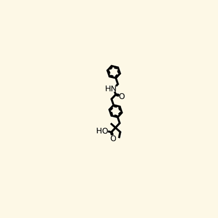 CCC(C)(Cc1ccc(CC(=O)NCc2ccccc2)cc1)C(=O)O